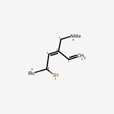 C=C/C(=C\C(S)C(C)CC)CNC